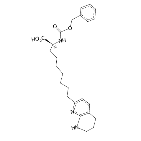 O=C(N[C@@H](CCCCCCCc1ccc2c(n1)NCCC2)C(=O)O)OCc1ccccc1